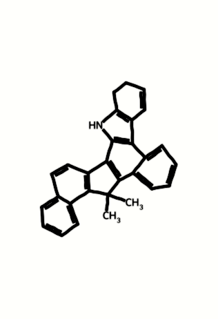 CC1(C)c2c(ccc3ccccc23)-c2c1c1ccccc1c1c3c([nH]c21)CCC=C3